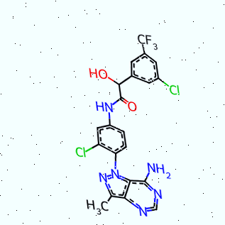 Cc1nn(-c2ccc(NC(=O)C(O)c3cc(Cl)cc(C(F)(F)F)c3)cc2Cl)c2c(N)ncnc12